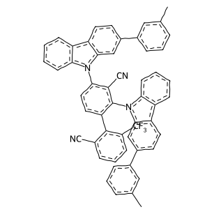 Cc1cccc(-c2ccc3c4ccccc4n(-c4ccc(-c5c(C#N)cccc5C(F)(F)F)c(-n5c6ccccc6c6ccc(-c7cccc(C)c7)cc65)c4C#N)c3c2)c1